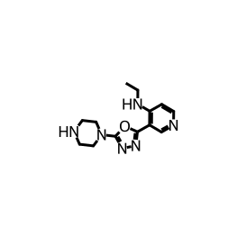 CCNc1ccncc1-c1nnc(N2CCNCC2)o1